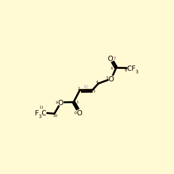 O=C(/C=C/COC(=O)C(F)(F)F)OCC(F)(F)F